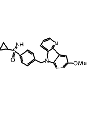 COc1ccc2c(c1)c1ncccc1n2Cc1ccc(S(=N)(=O)C2CC2)cc1